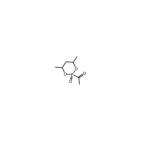 CC(=O)P1(=O)OC(C)CC(C)O1